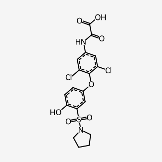 O=C(O)C(=O)Nc1cc(Cl)c(Oc2ccc(O)c(S(=O)(=O)N3CCCC3)c2)c(Cl)c1